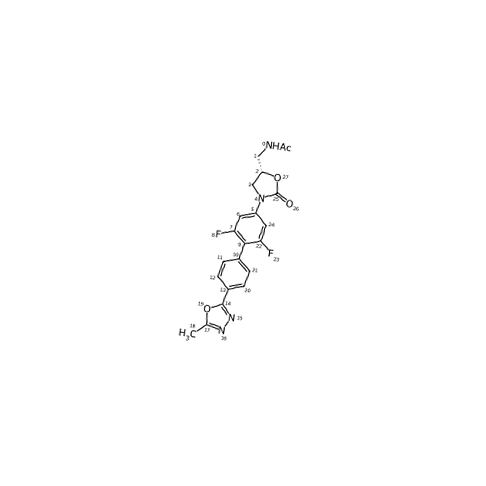 CC(=O)NC[C@H]1CN(c2cc(F)c(-c3ccc(-c4nnc(C)o4)cc3)c(F)c2)C(=O)O1